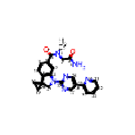 CN(CC(N)=O)C(=O)c1ccc2c(c1)N(c1ncc(-c3ccccn3)cn1)CC21CC1